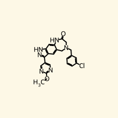 COc1ncc(-c2n[nH]c3cc4c(cc23)CN(Cc2cccc(Cl)c2)CC(=O)N4)cn1